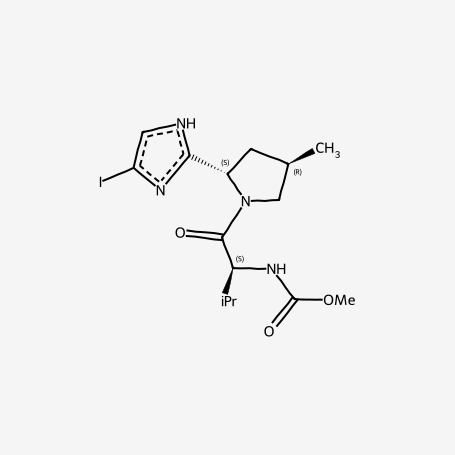 COC(=O)N[C@H](C(=O)N1C[C@H](C)C[C@H]1c1nc(I)c[nH]1)C(C)C